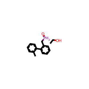 CCO.Cc1ccccc1-c1ccccc1C[PH2]=O